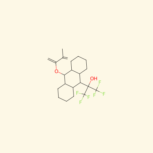 C=C(C)C(=C)OC1C2CCCCC2C(C(O)(C(F)(F)F)C(F)(F)F)C2CCCCC21